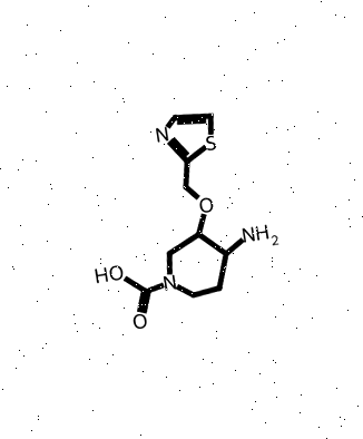 NC1CCN(C(=O)O)CC1OCc1nccs1